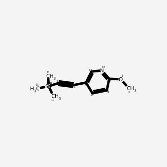 COc1ccc(C#C[Si](C)(C)C)cn1